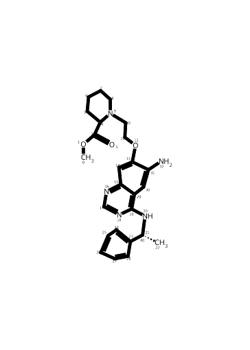 COC(=O)C1CCCCN1CCOc1cc2ncnc(N[C@H](C)c3ccccc3)c2cc1N